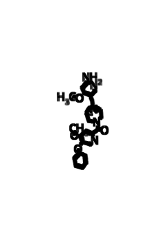 COc1cc(C(=O)N2CC3CCC(C2)CN(c2cnc(N)cc2OC)C3)ncc1Oc1ccccc1